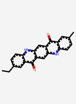 CCc1ccc2[nH]c3cc4c(=O)c5cc(C)ccc5[nH]c4cc3c(=O)c2c1